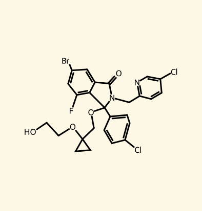 O=C1c2cc(Br)cc(F)c2C(OCC2(OCCO)CC2)(c2ccc(Cl)cc2)N1Cc1ccc(Cl)cn1